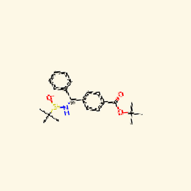 CC(C)(C)OC(=O)c1ccc([C@H](N[S+]([O-])C(C)(C)C)c2ccccc2)cc1